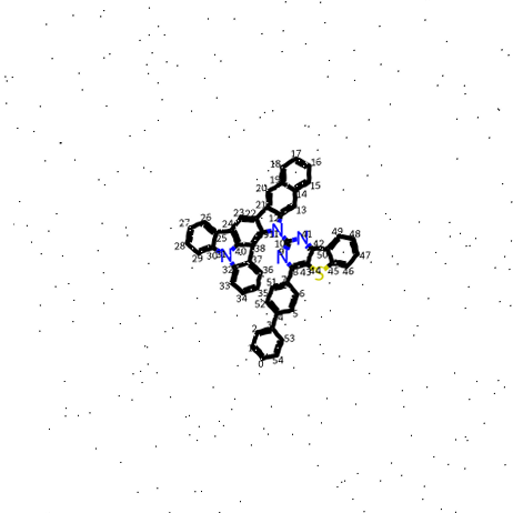 c1ccc(-c2ccc(-c3nc(-n4c5cc6ccccc6cc5c5cc6c7ccccc7n7c8ccccc8c(c54)c67)nc4c3sc3ccccc34)cc2)cc1